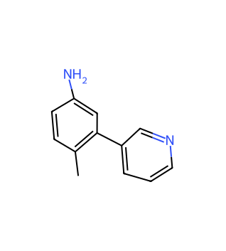 Cc1ccc(N)cc1-c1cccnc1